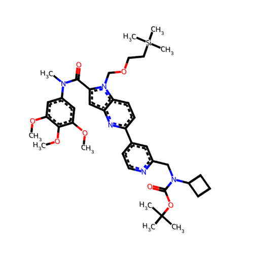 COc1cc(N(C)C(=O)c2cc3nc(-c4ccnc(CN(C(=O)OC(C)(C)C)C5CCC5)c4)ccc3n2COCC[Si](C)(C)C)cc(OC)c1OC